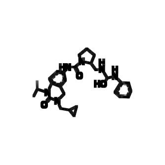 CC(C)N1C(=O)N(CC2CC2)Cc2cc(NC(=O)N3CCCC3CNC(O)Nc3ccccc3)ccc21